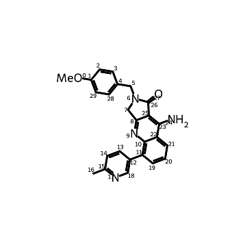 COc1ccc(CN2Cc3nc4c(-c5ccc(C)nc5)cccc4c(N)c3C2=O)cc1